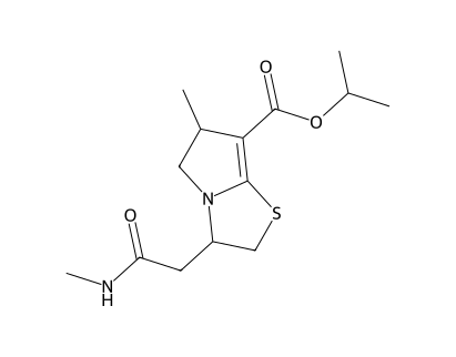 CNC(=O)CC1CSC2=C(C(=O)OC(C)C)C(C)CN21